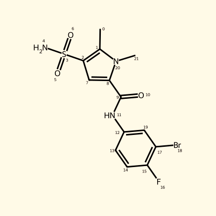 Cc1c(S(N)(=O)=O)cc(C(=O)Nc2ccc(F)c(Br)c2)n1C